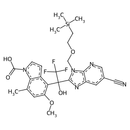 COc1cc(C)c2c(ccn2C(=O)O)c1C(O)(c1nc2cc(C#N)cnc2n1COCC[Si](C)(C)C)C(F)(F)F